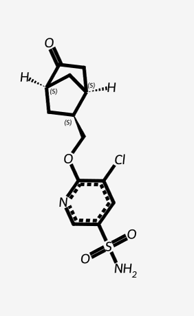 NS(=O)(=O)c1cnc(OC[C@H]2C[C@@H]3C[C@H]2CC3=O)c(Cl)c1